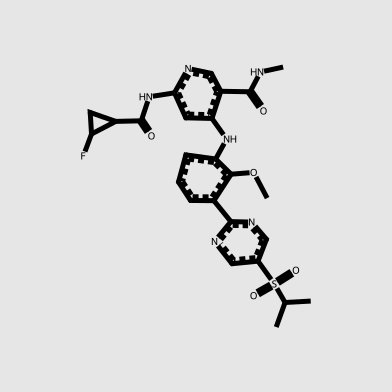 CNC(=O)c1cnc(NC(=O)C2CC2F)cc1Nc1cccc(-c2ncc(S(=O)(=O)C(C)C)cn2)c1OC